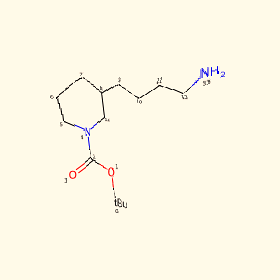 CC(C)(C)OC(=O)N1CCCC(CCCCN)C1